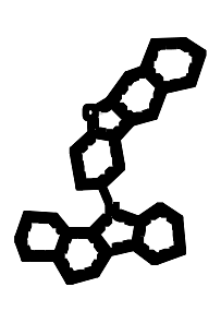 c1ccc2cc3c(cc2c1)oc1ccc(-n2c4ccccc4c4ccc5ccccc5c42)cc13